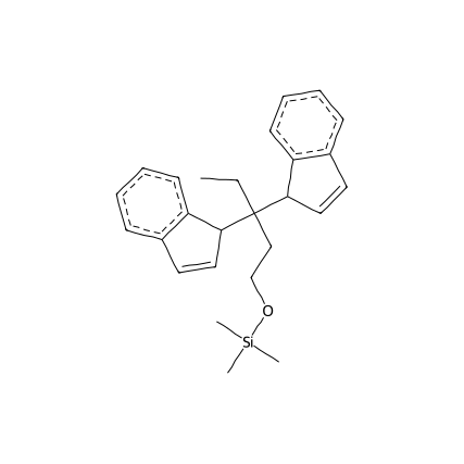 CCC(CCO[Si](C)(C)C)(C1C=Cc2ccccc21)C1C=Cc2ccccc21